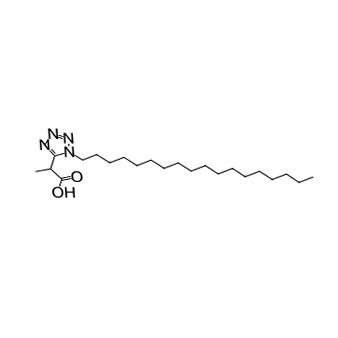 CCCCCCCCCCCCCCCCCCn1nnnc1C(C)C(=O)O